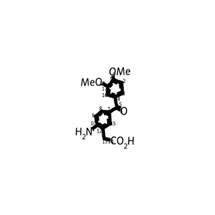 COc1ccc(C(=O)c2ccc(N)c(CC(=O)O)c2)cc1OC